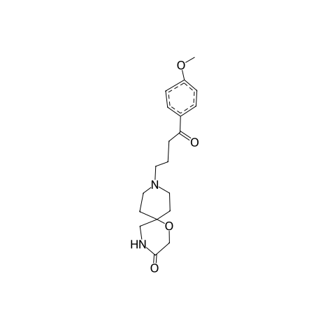 COc1ccc(C(=O)CCCN2CCC3(CC2)CNC(=O)CO3)cc1